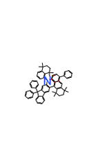 CC(C)c1ccc2c(c1-c1cc3c(cc1N(c1ccc(-c4ccccc4)cc1)c1cccc4c1C(C)(C)CCC4(C)C)C(c1ccccc1)(c1ccccc1)c1ccccc1-3)C(C)(C)CCC2(C)C